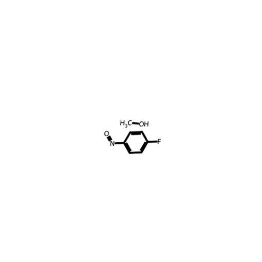 CO.O=Nc1ccc(F)cc1